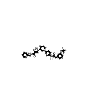 O=C(Cc1cccc(OC(F)(F)F)c1)Nc1ccc(N2CCCC(n3cc(C(=O)NCc4ccccn4)nn3)C2)nn1